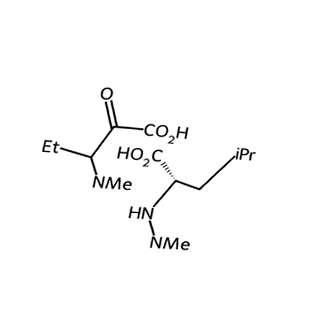 CCC(NC)C(=O)C(=O)O.CNN[C@@H](CC(C)C)C(=O)O